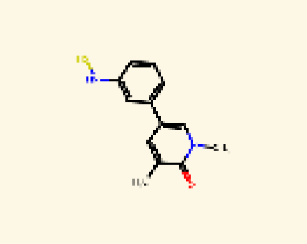 Cc1cc(-c2cccc(NS)c2)cn(C)c1=O